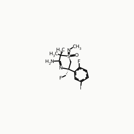 CN=[S@@]1(=O)C[C@@](CF)(c2cc(I)ccc2F)N=C(N)C1(C)C